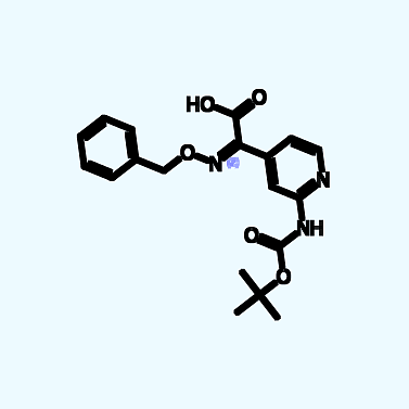 CC(C)(C)OC(=O)Nc1cc(/C(=N/OCc2ccccc2)C(=O)O)ccn1